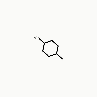 CCCC1CCC(I)CC1